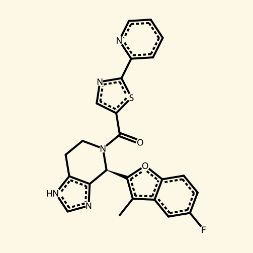 Cc1c([C@H]2c3nc[nH]c3CCN2C(=O)c2cnc(-c3ccccn3)s2)oc2ccc(F)cc12